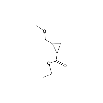 CCOC(=O)C1CC1COC